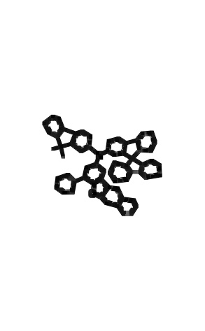 CC1(C)c2ccccc2-c2ccc(N(c3ccc4c(c3)C3(c5ccccc5-c5ccccc53)c3ccccc3-4)c3cc(-c4ccccc4)c4oc5cc6ccccc6cc5c4c3)cc21